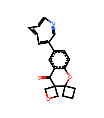 O=C1c2cc(C3=C/C=C/C=C/N=C\3)ccc2OC2(CCC2)C12COC2